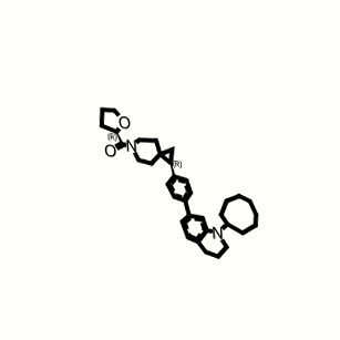 O=C([C@H]1CCCO1)N1CCC2(CC1)C[C@H]2c1ccc(-c2ccc3c(c2)N(C2CCCCCCC2)CCC3)cc1